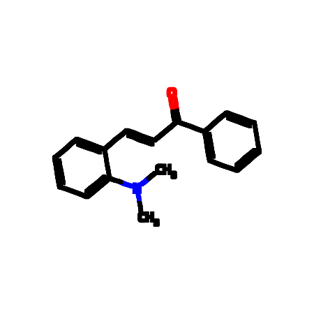 CN(C)c1ccccc1/C=C/C(=O)c1ccccc1